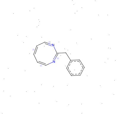 C1=C\C=N/C(Cc2ccccc2)=N\C=C/1